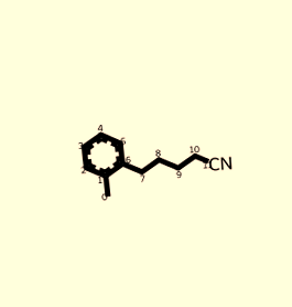 Cc1ccccc1CCCCC#N